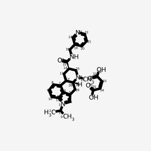 CC(C)n1cc2c3c(cccc31)C1C[C@@H](C(=O)NCc3cccnc3)CN(C)[C@@H]1C2.O=C(O)/C=C\C(=O)O